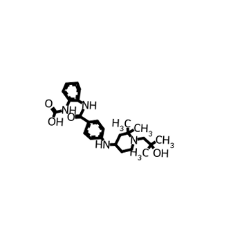 CC(C)(O)CN1CCC(Nc2ccc(C(=O)Nc3ccccc3NC(=O)O)cc2)CC1(C)C